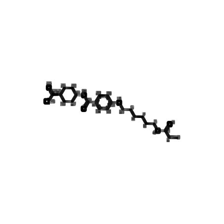 C=CC(=O)OCCCCCCOc1ccc(C(=O)O[C@H]2CC[C@H](C(=O)Cl)CC2)cc1